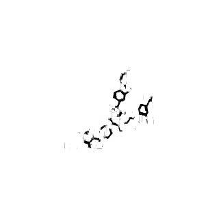 CCc1c(N2CCN(C(=O)c3ncnc(C)c3O)CC2)c(=O)n2nc(-c3ccc4c(cnn4CC(F)F)c3)nc2n1CC(=O)Nc1ccc(C(F)(F)F)cc1Cl